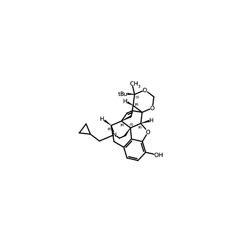 CC(C)(C)[C@@]1(C)OCOC23C=C[C@@]4(C[C@@H]21)[C@H]1Cc2ccc(O)c5c2[C@@]4(CCN1CC1CC1)[C@H]3O5